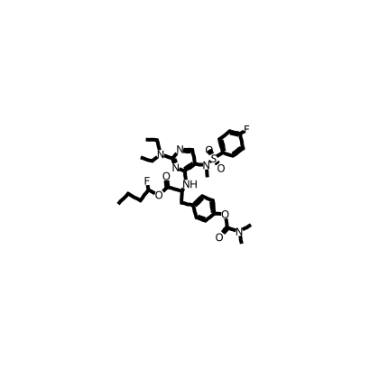 CCCC(F)OC(=O)C(Cc1ccc(OC(=O)N(C)C)cc1)Nc1nc(N(CC)CC)ncc1N(C)S(=O)(=O)c1ccc(F)cc1